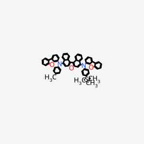 Cc1ccc(N(c2cc3oc4cc(N(c5ccc([Si](C)(C)C)cc5)c5cccc6c5oc5ccccc56)c5ccccc5c4c3c3ccccc23)c2cccc3c2oc2ccccc23)cc1